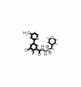 Cc1ccnc(-c2cc(Cl)c(F)c(C(=O)NNS(=O)(=O)CC3CCOCC3)c2)c1